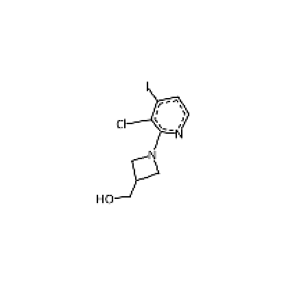 OCC1CN(c2nccc(I)c2Cl)C1